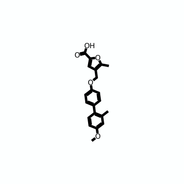 COc1ccc(-c2ccc(OCc3cc(C(=O)O)oc3C)cc2)c(C)c1